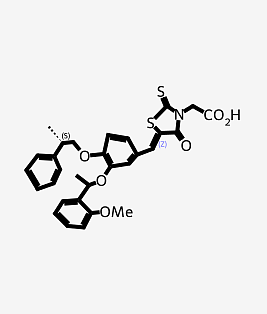 COc1ccccc1C(C)Oc1cc(/C=C2\SC(=S)N(CC(=O)O)C2=O)ccc1OC[C@@H](C)c1ccccc1